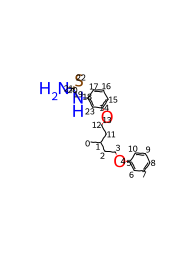 CC(CCOc1ccccc1)CCOc1cccc(NC(N)=S)c1